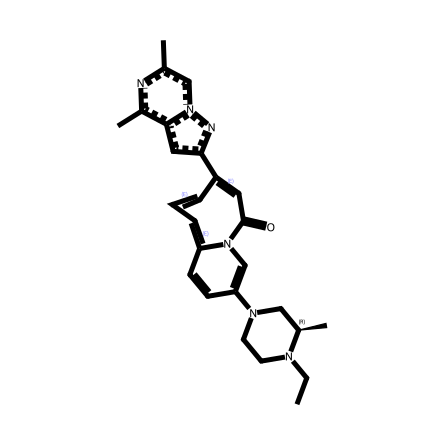 CCN1CCN(C2=CN3C(=O)\C=C(c4cc5c(C)nc(C)cn5n4)/C=C/C=C/3C=C2)C[C@H]1C